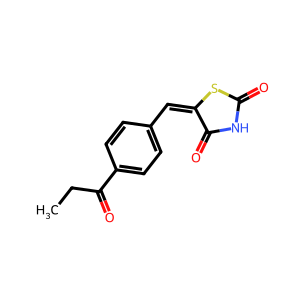 CCC(=O)c1ccc(C=C2SC(=O)NC2=O)cc1